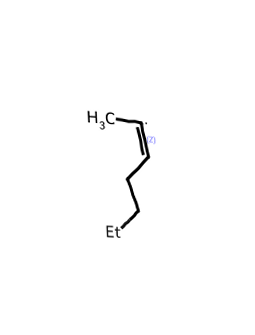 C/[C]=C\CCCC